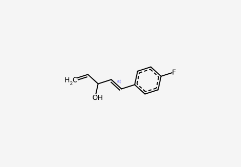 C=CC(O)/C=C/c1ccc(F)cc1